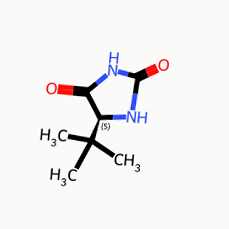 CC(C)(C)[C@@H]1NC(=O)NC1=O